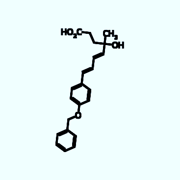 CC(O)(C=CC=Cc1ccc(OCc2ccccc2)cc1)CCC(=O)O